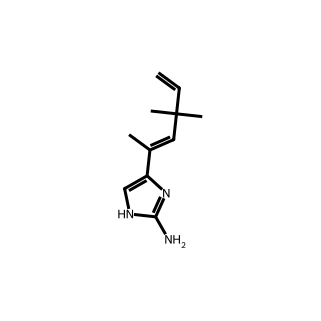 C=CC(C)(C)/C=C(\C)c1c[nH]c(N)n1